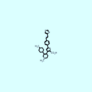 CC1CCC(C2=C(c3cc(-c4ccc(/C=C/c5cscn5)cc4)sc3C(=O)O)CCN(C)C2)CC1